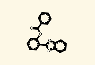 O=C(Oc1ccccc1-c1nc2ccccc2o1)c1ccccc1